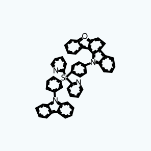 c1ccc([Si](c2ccc(-n3c4ccccc4c4ccc5oc6ccccc6c5c43)cc2)(c2cccc(-n3c4ccccc4c4ccccc43)c2)c2ccccn2)nc1